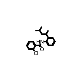 CC(C)CC(C)c1ccccc1NC(=O)c1ccccc1Cl